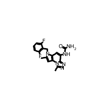 Cc1cc2c(cc(NC(N)=O)c3nnc(C)n32)n1Cc1c(F)cccc1F